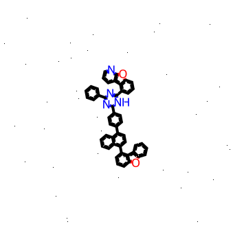 c1ccc(C2=NC(c3ccc(-c4ccc(-c5cccc6oc7ccccc7c56)c5ccccc45)cc3)NC(c3cccc4oc5ncccc5c34)=N2)cc1